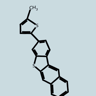 Cc1ccc(-c2ccc3c(c2)sc2cc4ccccc4cc23)s1